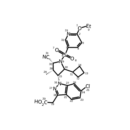 CCOc1ccc(S(=O)(=O)N2C(C3CCC3)[C@H](n3nc(CC(=O)O)c4ccc(Cl)cc43)[C@H](C)[C@@H]2C#N)cn1